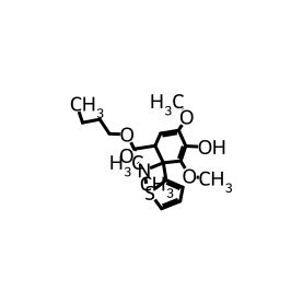 CCCCOC(=O)C1C=C(OC)C(O)=C(OC)C1(c1cccs1)N(C)C